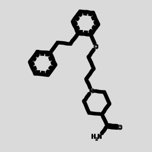 NC(=O)C1CCN(CCCOc2ccccc2CCc2ccccc2)CC1